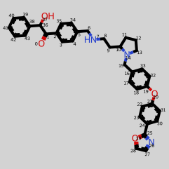 O=C(c1ccc(CNCCC2CCCN2Cc2ccc(Oc3ccc(-c4ncco4)cc3)cc2)cc1)C(O)c1ccccc1